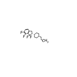 CCC[C@H]1CC[C@H](C2Cc3ccc(F)c(F)c3C2(F)F)CC1